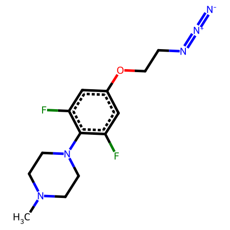 CN1CCN(c2c(F)cc(OCCN=[N+]=[N-])cc2F)CC1